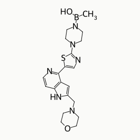 CB(O)N1CCN(c2ncc(-c3nccc4[nH]c(CN5CCOCC5)cc34)s2)CC1